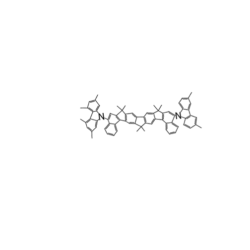 Cc1ccc2c(c1)c1cc(C)ccc1n2-c1cc2c(c3ccccc13)-c1cc3c(cc1C2(C)C)-c1cc2c(cc1C3(C)C)-c1c(cc(-n3c4cc(C)cc(C)c4c4c(C)cc(C)cc43)c3ccccc13)C2(C)C